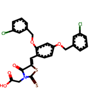 O=C(O)CN1C(=O)/C(=C/c2ccc(OCc3cccc(Cl)c3)cc2OCc2cccc(Cl)c2)SC1=S